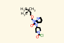 C[Si](C)(C)CCOCn1c(=O)n(C2CCN(C(=O)Cl)CC2)c2cccnc21